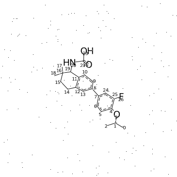 CC(C)Oc1ccc(-c2ccc3c(c2)CCC(C)(C)C3NC(=O)O)cc1F